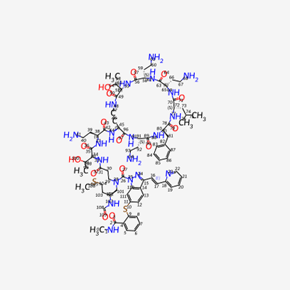 CNC(=O)c1ccccc1Sc1ccc2c(/C=C/c3ccccn3)nn(C(=O)N(CCC(=O)N[C@H](C(=O)N[C@@H](CCN)C(=O)N[C@H]3CCNC(=O)[C@H]([C@@H](C)O)NC(=O)[C@H](CCN)NC(=O)[C@H](CCN)NC(=O)[C@H](CC(C)C)NC(=O)[C@@H](Cc4ccccc4)NC(=O)[C@H](CCN)NC3=O)[C@@H](C)O)C[C@H](CCSC)NC=O)c2c1